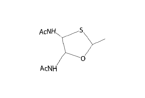 CC(=O)NC1OC(C)SC1NC(C)=O